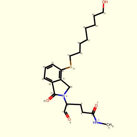 CNC(=O)CCC(C=O)N1Cc2c(SCCCCCCCCO)cccc2C1=O